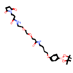 CC1(C)OB(c2ccc(OCCCCNC(=O)CCOCCOCCNC(=O)CCN3C(=O)C=CC3=O)cc2)OC1(C)C